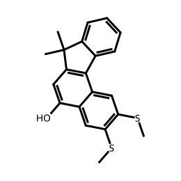 CSc1cc2c(O)cc3c(c2cc1SC)-c1ccccc1C3(C)C